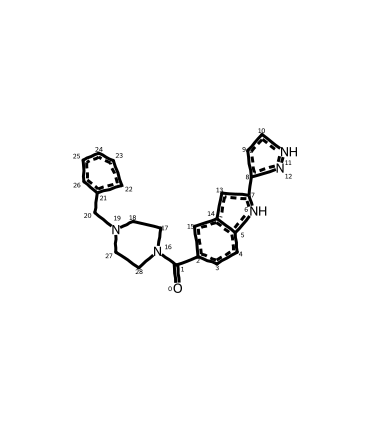 O=C(c1ccc2[nH]c(-c3cc[nH]n3)cc2c1)N1CCN(Cc2ccccc2)CC1